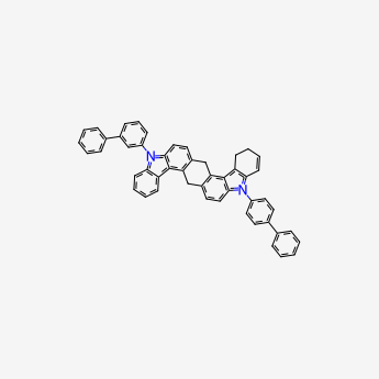 C1=Cc2c(c3c4c(ccc3n2-c2ccc(-c3ccccc3)cc2)Cc2c(ccc3c2c2ccccc2n3-c2cccc(-c3ccccc3)c2)C4)CC1